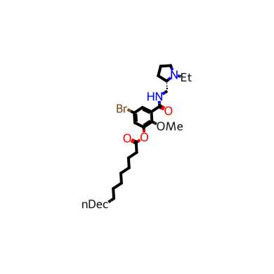 CCCCCCCCCCCCCCCCCC(=O)Oc1cc(Br)cc(C(=O)NC[C@@H]2CCCN2CC)c1OC